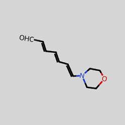 O=C/C=C/C=C/C=C/N1CCOCC1